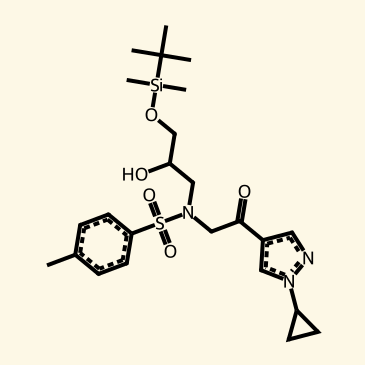 Cc1ccc(S(=O)(=O)N(CC(=O)c2cnn(C3CC3)c2)CC(O)CO[Si](C)(C)C(C)(C)C)cc1